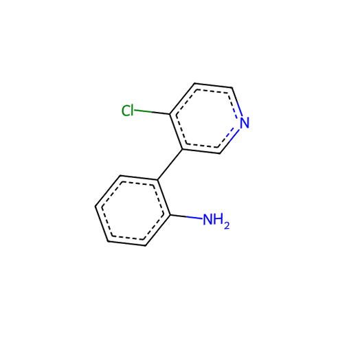 Nc1ccccc1-c1cnccc1Cl